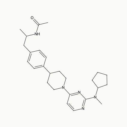 CC(=O)NC(C)Cc1ccc(C2CCN(c3ccnc(N(C)C4CCCC4)n3)CC2)cc1